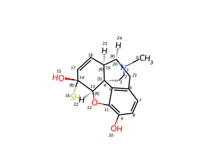 CN1CC[C@]23c4c5ccc(O)c4O[C@H]2[C@](O)(S)C=C[C@H]3[C@H]1C5